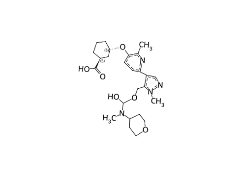 Cc1nc(-c2cnn(C)c2COC(O)N(C)C2CCOCC2)ccc1O[C@H]1CCC[C@H](C(=O)O)C1